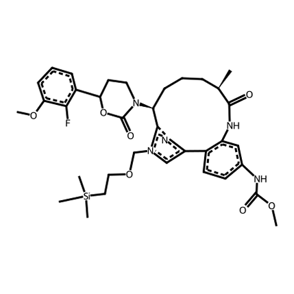 COC(=O)Nc1ccc2c(c1)NC(=O)[C@H](C)CCC[C@H](N1CCC(c3cccc(OC)c3F)OC1=O)c1nc-2cn1COCC[Si](C)(C)C